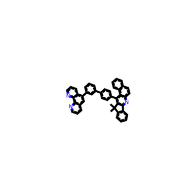 CC1(C)c2ccccc2-c2nc3ccc4ccccc4c3c(-c3ccc(-c4cccc(-c5cc6cccnc6c6ncccc56)c4)cc3)c21